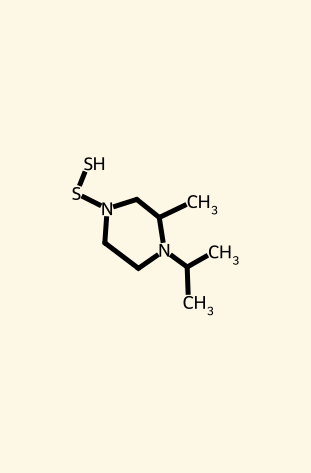 CC(C)N1CCN(SS)CC1C